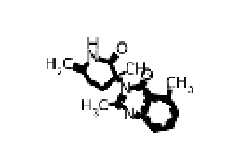 C=C1CC[C@@](C)(n2c(C)nc3cccc(C)c3c2=O)C(=O)N1